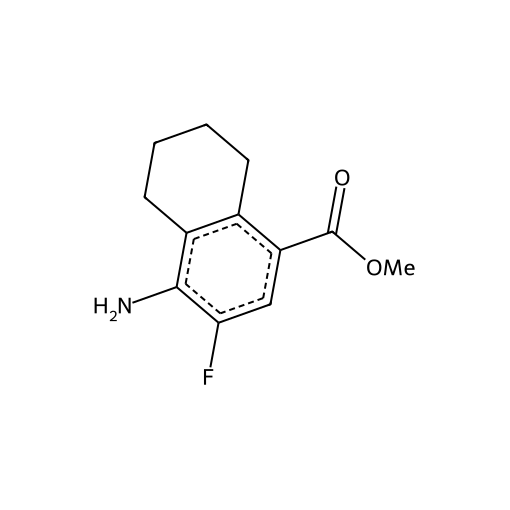 COC(=O)c1cc(F)c(N)c2c1CCCC2